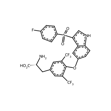 N[C@H](Cc1cc(C(F)(F)F)c(Oc2ccc3[nH]cc(S(=O)(=O)c4ccc(F)cc4)c3c2)c(C(F)(F)F)c1)C(=O)O